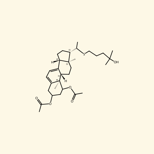 CC(=O)OC1CC2=CC=C3[C@@H]4CC[C@H](C(C)SCCCC(C)(C)O)[C@@]4(C)CC[C@@H]3[C@@]2(C)C(OC(C)=O)C1